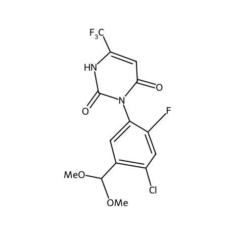 COC(OC)c1cc(-n2c(=O)cc(C(F)(F)F)[nH]c2=O)c(F)cc1Cl